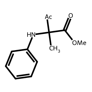 COC(=O)C(C)(Nc1ccccc1)C(C)=O